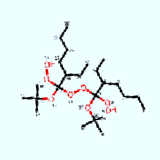 CCCCC(CC)C(OO)(OOC(OO)(OC(C)(C)C)C(CC)CCCC)OC(C)(C)C